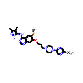 Cc1n[nH]c(Nc2ncnc3cc(OCCCN4CCN(c5cnc(C(=O)O)cn5)CC4)c(SC(C)(C)C)cc23)c1C